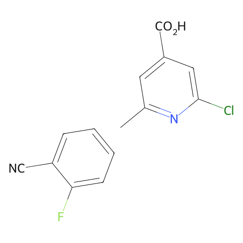 Cc1cc(C(=O)O)cc(Cl)n1.N#Cc1ccccc1F